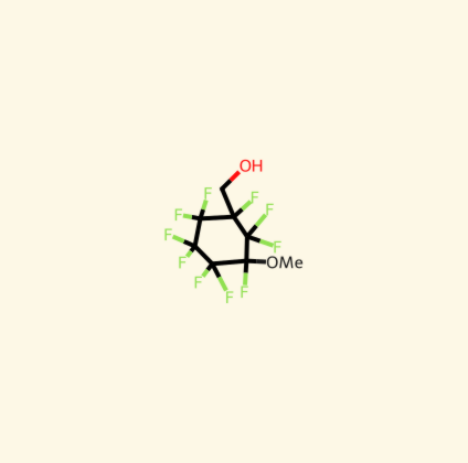 COC1(F)C(F)(F)C(F)(F)C(F)(F)C(F)(CO)C1(F)F